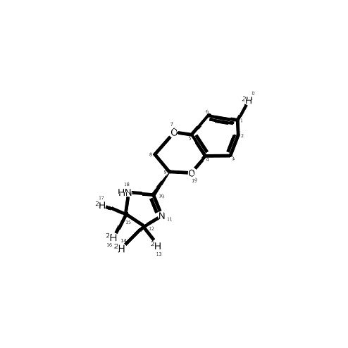 [2H]c1ccc2c(c1)OC[C@H](C1=NC([2H])([2H])C([2H])([2H])N1)O2